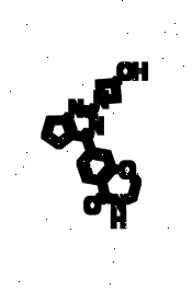 O=C1NCCOc2cc(-c3nc(N4CC(O)C4)nc4c3CCC4)ccc21